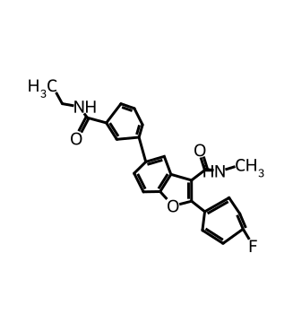 CCNC(=O)c1cccc(-c2ccc3oc(-c4ccc(F)cc4)c(C(=O)NC)c3c2)c1